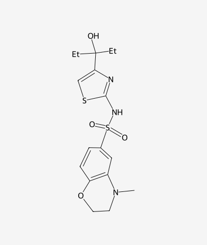 CCC(O)(CC)c1csc(NS(=O)(=O)c2ccc3c(c2)N(C)CCO3)n1